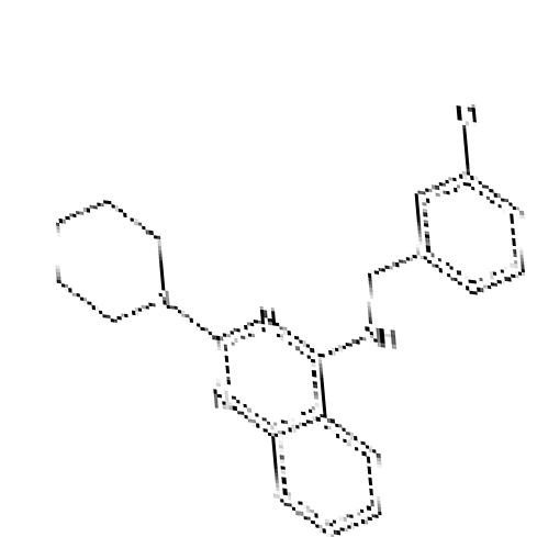 Clc1cccc(CNc2nc(N3CCCCC3)nc3ccccc23)c1